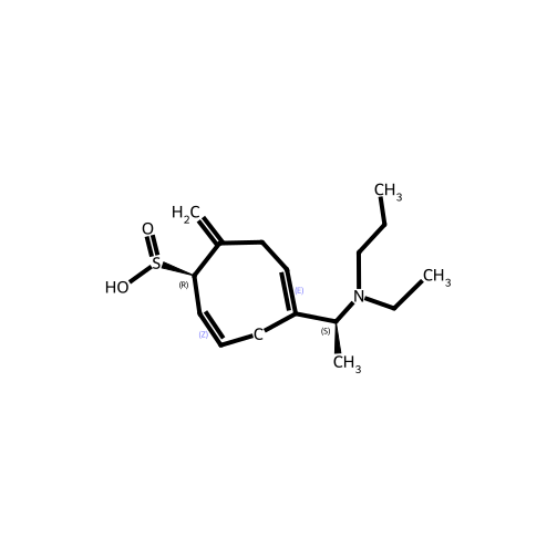 C=C1C/C=C(/[C@H](C)N(CC)CCC)C/C=C\[C@H]1S(=O)O